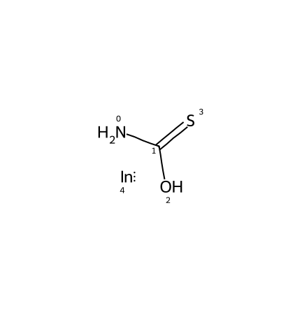 NC(O)=S.[In]